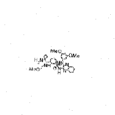 COCCNC(C(N)=O)c1cccc(S(=O)(=O)Nc2nc3ccccc3nc2Nc2cc(OC)cc(OC)c2)c1